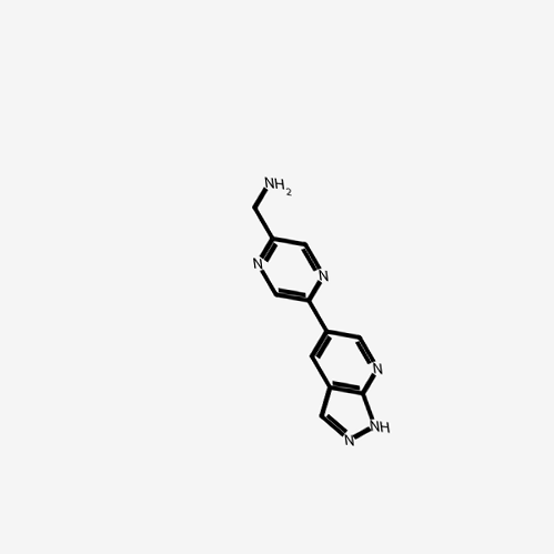 NCc1cnc(-c2cnc3[nH]ncc3c2)cn1